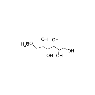 C.OCC(O)C(O)C(O)C(O)CO